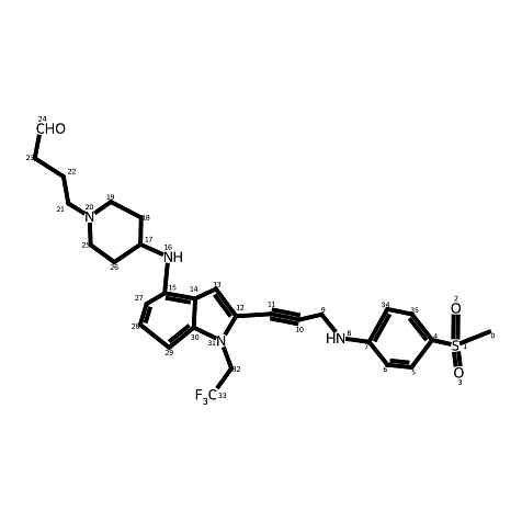 CS(=O)(=O)c1ccc(NCC#Cc2cc3c(NC4CCN(CCCC=O)CC4)cccc3n2CC(F)(F)F)cc1